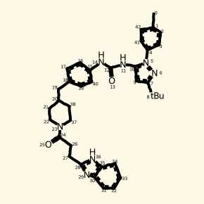 Cc1ccc(-n2nc(C(C)(C)C)cc2NC(=O)Nc2ccc(CC3CCN(C(=O)CCc4nc5ccccc5[nH]4)CC3)cc2)cc1